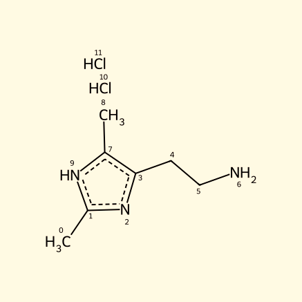 Cc1nc(CCN)c(C)[nH]1.Cl.Cl